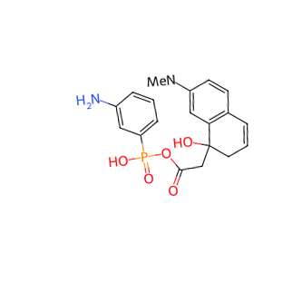 CNc1ccc2c(c1)C(O)(CC(=O)OP(=O)(O)c1cccc(N)c1)CC=C2